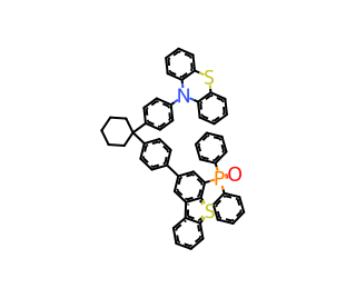 O=P(c1ccccc1)(c1ccccc1)c1cc(-c2ccc(C3(c4ccc(N5c6ccccc6Sc6ccccc65)cc4)CCCCC3)cc2)cc2c1sc1ccccc12